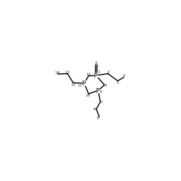 C=P1(CCC)CP(CCC)CP(CCC)C1